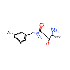 CCCC(N)C(=O)C(=O)NCc1cccc(C(C)=O)c1